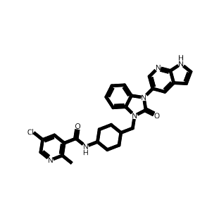 Cc1ncc(Cl)cc1C(=O)NC1CCC(Cn2c(=O)n(-c3cnc4[nH]ccc4c3)c3ccccc32)CC1